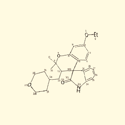 CCOc1ccc2c(c1)OC(C)(C)C(CC1CCOCC1)C21C(=O)Nc2ccccc21